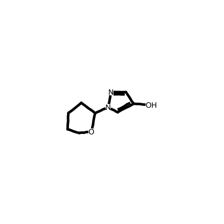 Oc1cnn(C2CCCCO2)c1